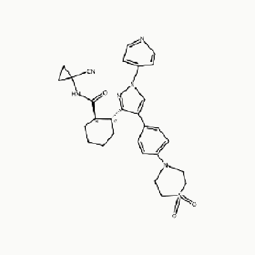 N#CC1(NC(=O)[C@@H]2CCCC[C@H]2c2nn(-c3ccncc3)cc2-c2ccc(N3CCS(=O)(=O)CC3)cc2)CC1